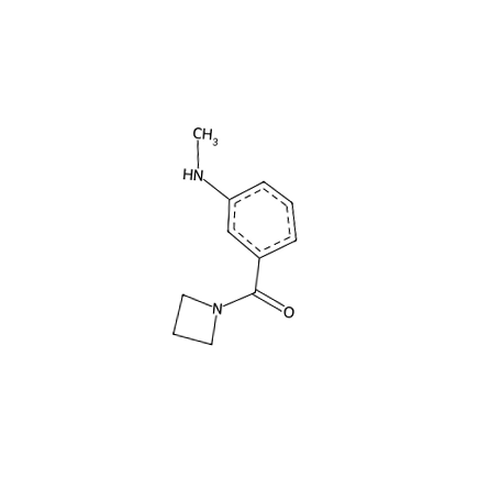 CNc1cccc(C(=O)N2CCC2)c1